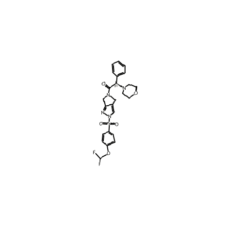 O=C([C@@H](c1ccccc1)N1CCOCC1)N1Cc2cn(S(=O)(=O)c3ccc(OC(F)F)cc3)nc2C1